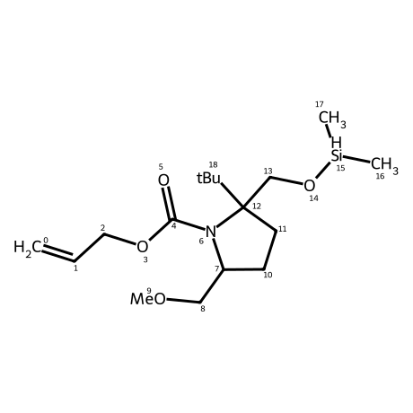 C=CCOC(=O)N1C(COC)CCC1(CO[SiH](C)C)C(C)(C)C